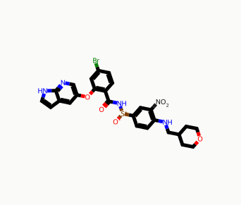 O=C(N[S+]([O-])c1ccc(NCC2CCOCC2)c([N+](=O)[O-])c1)c1ccc(Br)cc1Oc1cnc2[nH]ccc2c1